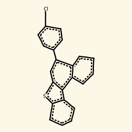 Clc1ccc(-c2cc3sc4ccccc4c3c3ccccc23)cc1